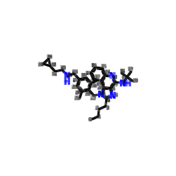 CCCCc1nc2c(NC(C)(C)C)nc3ccccc3c2n1Cc1c(C)cc(CNCCC2CC2)cc1C